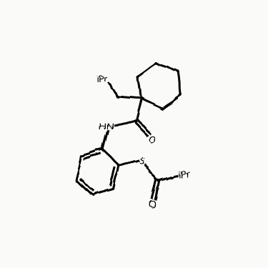 CC(C)CC1(C(=O)Nc2ccccc2SC(=O)C(C)C)CCCCC1